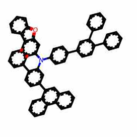 c1ccc(-c2ccc(-c3ccc(N(c4ccc5c(c4)oc4ccccc45)c4cc(-c5cc6ccccc6c6ccccc56)ccc4-c4ccccc4)cc3)cc2-c2ccccc2)cc1